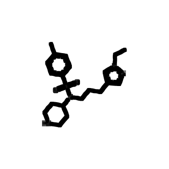 CCn1cc(CCCN(C2CCNCC2)S(=O)(=O)c2ccc(C)cc2)cn1